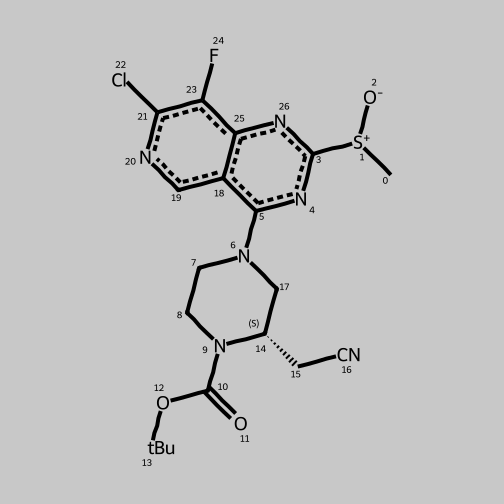 C[S+]([O-])c1nc(N2CCN(C(=O)OC(C)(C)C)[C@@H](CC#N)C2)c2cnc(Cl)c(F)c2n1